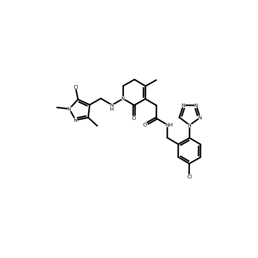 CC1=C(CC(=O)NCc2cc(Cl)ccc2-n2cnnn2)C(=O)N(NCc2c(C)nn(C)c2Cl)CC1